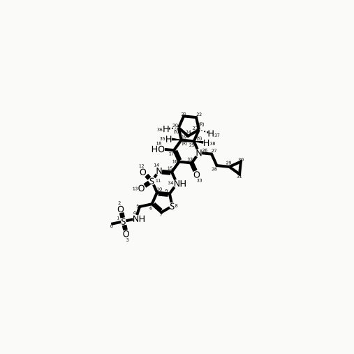 CS(=O)(=O)NCc1csc2c1S(=O)(=O)N=C(C1=C(O)[C@@H]3[C@H]4CC[C@H](C4)[C@@H]3N(CCC3CC3)C1=O)N2